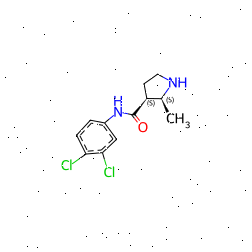 C[C@@H]1NCC[C@@H]1C(=O)Nc1ccc(Cl)c(Cl)c1